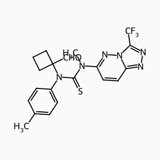 Cc1ccc(N(C(=S)N(C)c2ccc3nnc(C(F)(F)F)n3n2)C2(C=O)CCC2)cc1